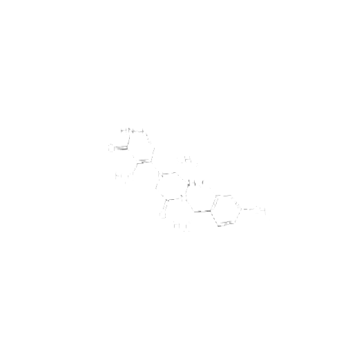 Cc1ccc([C@H](C)N2C[C@@H](C)N(c3cn[nH]c(=O)c3C)CC2=O)c(C)c1